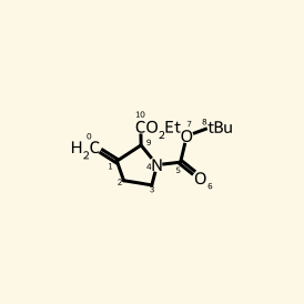 C=C1CCN(C(=O)OC(C)(C)C)C1C(=O)OCC